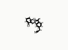 Cc1nn(Cc2c(Cl)cccc2Cl)c2cc(CC#N)ccc12